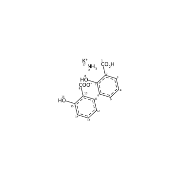 N.O=C(O)c1ccccc1O.O=C([O-])c1ccccc1O.[K+]